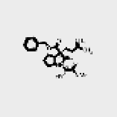 C=C(C)CC[C@](C(=O)N[C@H](C(=O)NC)C(C)(C)C)(C(=O)OCc1ccccc1)C1CCCC1